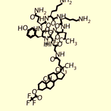 CC(C)C[C@H](NC(=O)[C@H](CCCCN)NC(=O)[C@H](CCCCN)NC(=O)[C@H](CCC(N)=O)NC(=O)[C@H](Cc1ccc(O)cc1)NC(=O)CNC(=O)CNC(=O)CC[C@@H](C)[C@H]1CCC2C3CCC4C[C@H](OC(=O)C(F)(F)F)CC[C@]4(C)C3CC[C@@]21C)C(N)=O